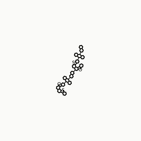 c1ccc2cc(-c3c4ccccc4c(-c4ccc5c(c4)sc4ccc6c(-c7ccc8cc(-c9c%10ccccc%10c(-c%10ccc%11c(c%10)oc%10ccc%12ccc%13c%14ccccc%14sc%13c%12c%10%11)c%10ccccc9%10)ccc8c7)cc7oc8ccccc8c7c6c45)c4ccccc34)ccc2c1